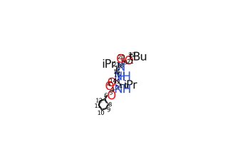 CC(C)C(NC(=O)OCc1ccccc1)C(=O)NC[C@@H](NC(=O)OC(C)(C)C)C(C)C